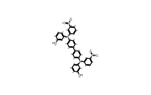 O=[N+]([O-])c1cccc(N(c2ccc(-c3ccc(N(c4cccc(O)c4)c4cccc([N+](=O)[O-])c4)cc3)cc2)c2cccc(O)c2)c1